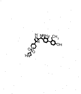 CCc1cc(O)ccc1-c1ccc2c(-c3nc(C4=CCN(S(=O)(=O)C5CNC5)CC4)c[nH]3)n[nH]c2c1F